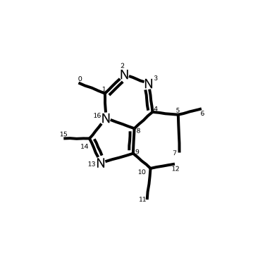 Cc1nnc(C(C)C)c2c(C(C)C)nc(C)n12